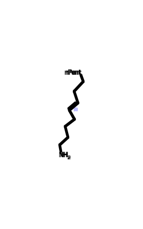 CCCCCCC/C=C/CCCCN